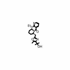 CCOc1ncccc1C(=O)N1CCCC[C@@H]1Cc1nc(C(C)(C)O)c(C)o1